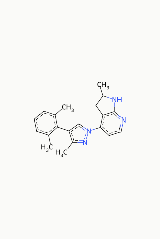 Cc1cccc(C)c1-c1cn(-c2ccnc3c2CC(C)N3)nc1C